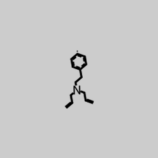 C=CCN(CC=C)CCc1cc[c]cc1